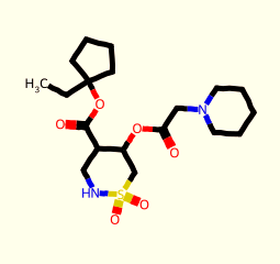 CCC1(OC(=O)C2CNS(=O)(=O)CC2OC(=O)CN2CCCCC2)CCCC1